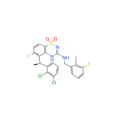 Cc1c(F)cccc1CNC1=NS(=O)(=O)c2ccc(F)c([C@H](C)c3cccc(Cl)c3Cl)c2N1